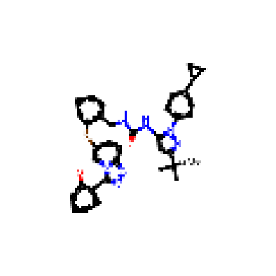 CSC(C)(C)c1cc(NC(=O)NCc2ccccc2Sc2ccc3nnc(-c4ccccc4O)n3c2)n(-c2ccc(C3CC3)cc2)n1